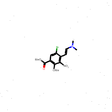 COC(=O)c1cc(Br)c(/C=C/N(C)C)c([N+](=O)[O-])c1OC